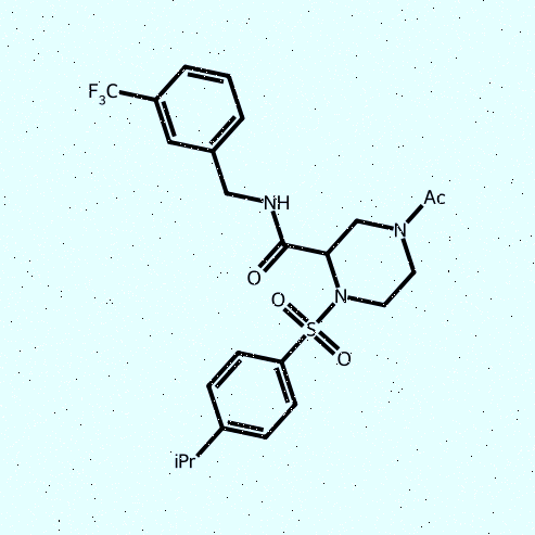 CC(=O)N1CCN(S(=O)(=O)c2ccc(C(C)C)cc2)C(C(=O)NCc2cccc(C(F)(F)F)c2)C1